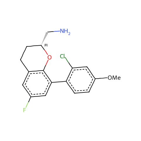 COc1ccc(-c2cc(F)cc3c2O[C@@H](CN)CC3)c(Cl)c1